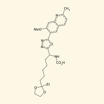 CCC1(CCCCCC(NC(=O)O)c2nnc(-c3cc4ccc(C)nc4cc3OC)o2)OCCO1